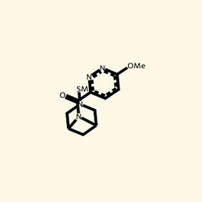 COc1ccc(C(=O)N2C3CC2CN(SC)C3)nn1